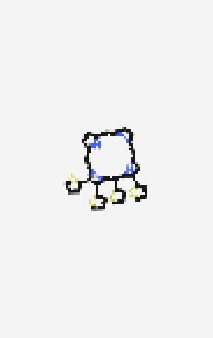 C1=Cc2cc3[nH]c(c(-c4cccs4)c4nc(cc5ccc(cc1n2)[nH]5)C=C4c1cccs1)c(-c1cccs1)c3-c1cccs1